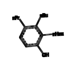 CCCCCCc1c(O)ccc(CCC)c1CCCC